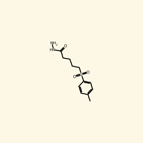 Cc1ccc(S(=O)(=O)CCCCC(=O)NN)cc1